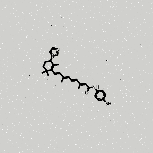 CC1=C(/C=C/C(C)=C/C=C/C(C)=C/C(=O)Nc2ccc(S)cc2)C(C)(C)CCC1n1ccnc1